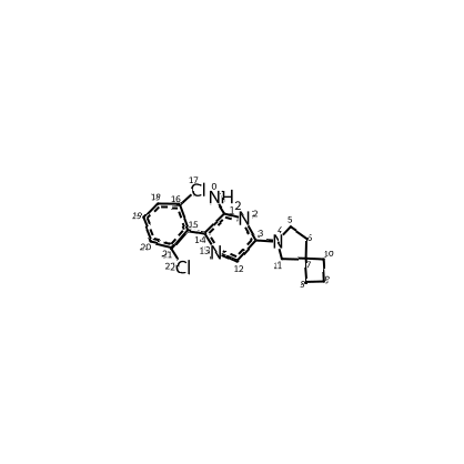 Nc1nc(N2CCC3(CCC3)C2)cnc1-c1c(Cl)cccc1Cl